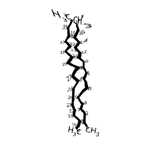 CCCCCCCCCCCCCCCCCC.CCCCCCCCCCCCCCCCCCCC